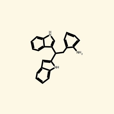 Nc1ccccc1CC(c1cc2ccccc2[nH]1)c1c[nH]c2ccccc12